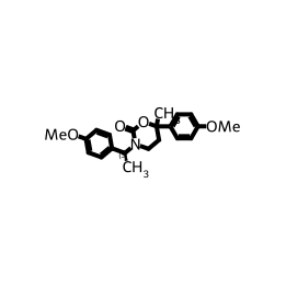 COc1ccc([C@H](C)N2CCC(C)(c3ccc(OC)cc3)OC2=O)cc1